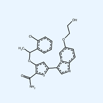 CC(Oc1cc(-c2cnc3ccc(OCCO)cn23)sc1C(N)=O)c1ccccc1Cl